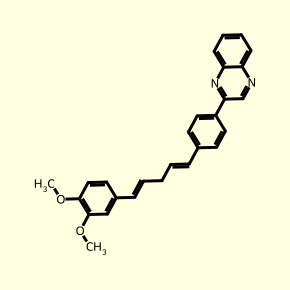 COc1ccc(C=CCC=Cc2ccc(-c3cnc4ccccc4n3)cc2)cc1OC